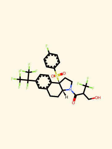 O=C(C(CO)C(F)(F)F)N1CC[C@@]2(S(=O)(=O)c3ccc(F)cc3)c3ccc(C(F)(C(F)(F)F)C(F)(F)F)cc3CC[C@@H]12